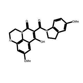 COc1ccc2c(c1)CCN2C(=O)c1c(O)c2cc(OC)cc3c2n(c1=O)CCO3